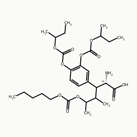 CCCCCOC(=O)OC(C)C(C)C(c1ccc(OC(=O)OC(C)CC)c(OC(=O)OC(C)CC)c1)[C@H](N)C(=O)O